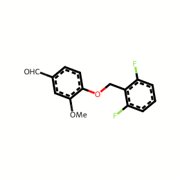 COc1cc(C=O)ccc1OCc1c(F)cccc1F